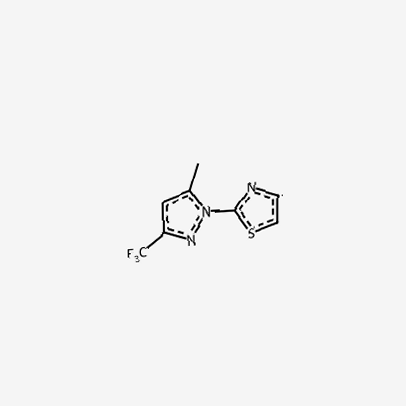 Cc1cc(C(F)(F)F)nn1-c1n[c]cs1